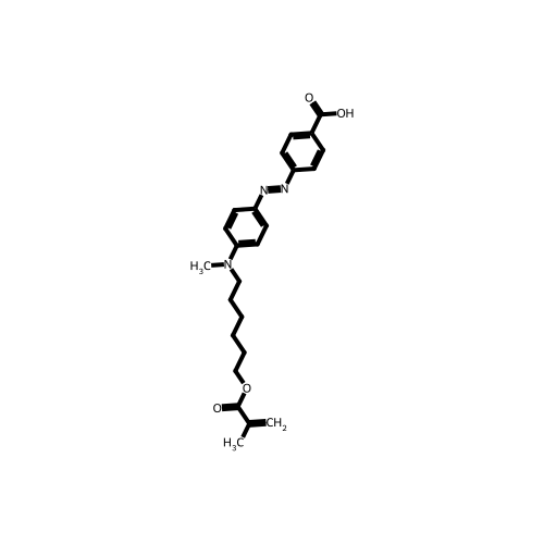 C=C(C)C(=O)OCCCCCCN(C)c1ccc(/N=N/c2ccc(C(=O)O)cc2)cc1